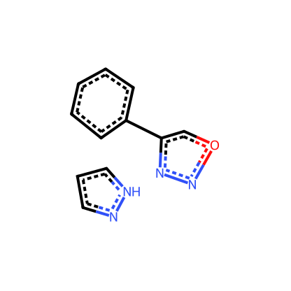 c1ccc(-c2conn2)cc1.c1cn[nH]c1